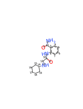 NC(=O)c1ccccc1NC(=O)CNC1CCCCC1